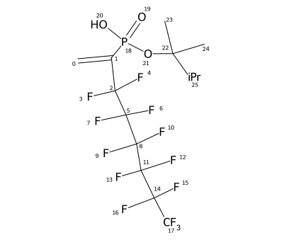 C=C(C(F)(F)C(F)(F)C(F)(F)C(F)(F)C(F)(F)C(F)(F)F)P(=O)(O)OC(C)(C)C(C)C